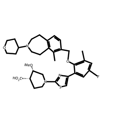 CO[C@@H]1CN(c2nc(-c3cc(F)cc(C)c3OCc3ccc4c(c3C)CCN(C3CCOCC3)CC4)cs2)CC[C@@H]1C(=O)O